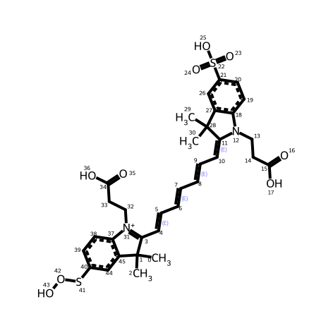 CC1(C)C(/C=C/C=C/C=C/C=C2/N(CCC(=O)O)c3ccc(S(=O)(=O)O)cc3C2(C)C)=[N+](CCC(=O)O)c2ccc(SOO)cc21